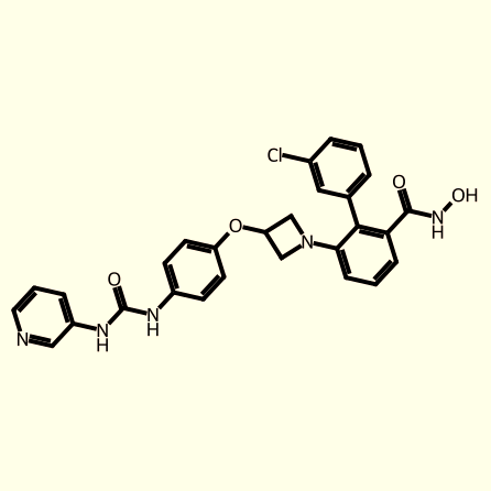 O=C(Nc1ccc(OC2CN(c3cccc(C(=O)NO)c3-c3cccc(Cl)c3)C2)cc1)Nc1cccnc1